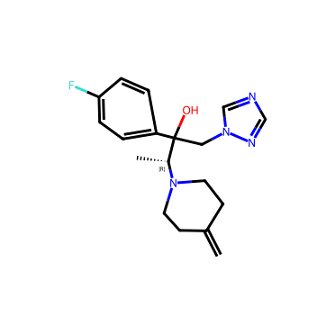 C=C1CCN([C@H](C)C(O)(Cn2cncn2)c2ccc(F)cc2)CC1